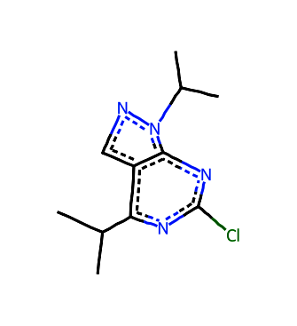 CC(C)c1nc(Cl)nc2c1cnn2C(C)C